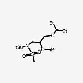 CCC(CC)OCC(CN(C(C)(C)C)S(C)(=O)=O)OC(C)C